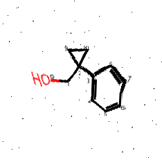 OCC1(c2ccccc2)CC1